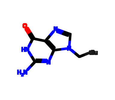 CC(C)(C)Cn1cnc2c(=O)[nH]c(N)nc21